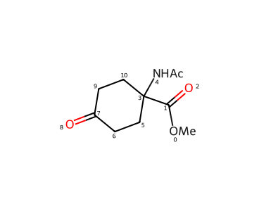 COC(=O)C1(NC(C)=O)CCC(=O)CC1